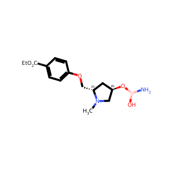 CCOC(=O)c1ccc(OC[C@@H]2C[C@@H](OB(N)O)CN2C)cc1